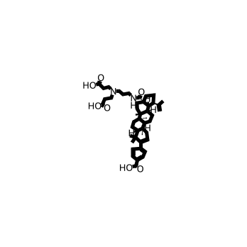 C=C(C)[C@@H]1CC[C@]2(C(=O)NCCCN(CCC(=O)O)CCC(=O)O)CC[C@]3(C)[C@H](CC[C@@H]4[C@@]5(C)CC=C(c6ccc(C(=O)O)cc6)C(C)(C)[C@@H]5CC[C@]43C)[C@@H]12